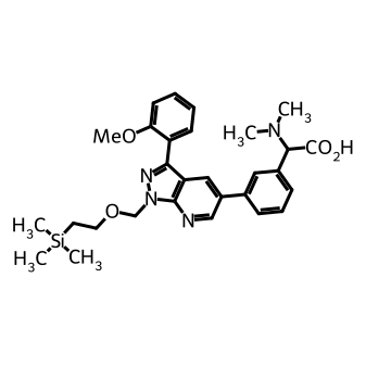 COc1ccccc1-c1nn(COCC[Si](C)(C)C)c2ncc(-c3cccc(C(C(=O)O)N(C)C)c3)cc12